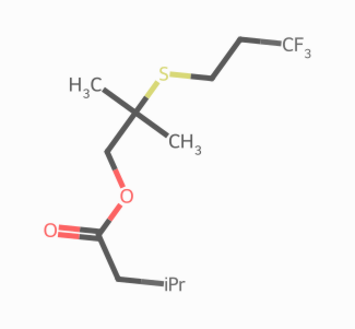 CC(C)CC(=O)OCC(C)(C)SCCC(F)(F)F